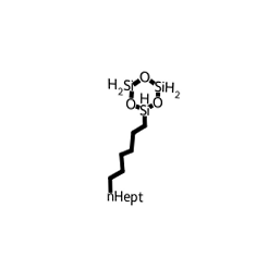 CCCCCCCCCCCCC[SiH]1O[SiH2]O[SiH2]O1